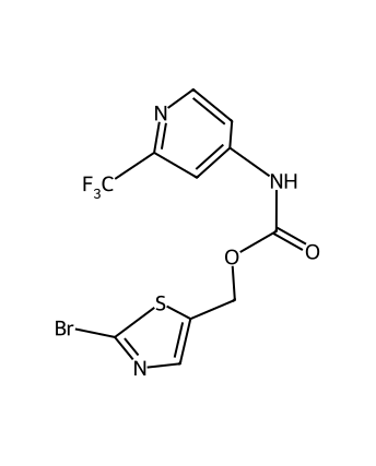 O=C(Nc1ccnc(C(F)(F)F)c1)OCc1cnc(Br)s1